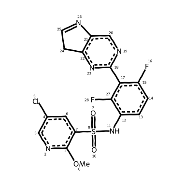 COc1ncc(Cl)cc1S(=O)(=O)Nc1ccc(F)c(-c2ncc3c(n2)CC=N3)c1F